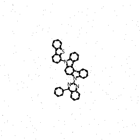 c1ccc(-c2nc(-n3c4ccccc4c4c5c6ccccc6n(-c6cccc7c6sc6ccccc67)c5ccc43)nc3ccccc23)cc1